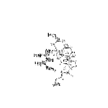 CC(C)CCCC(C)[C@H]1CC[C@H]2[C@@H]3CC=C4C[C@@H](O)CC[C@]4(C)[C@H]3CC[C@]12C.N=C(N)NC(=N)N